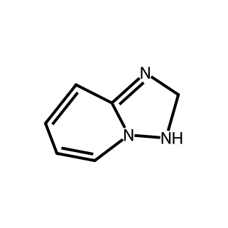 C1=CC2=NCNN2C=C1